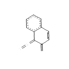 [N-]=[N+]=C1C(=O)C=[C]c2ccccc21